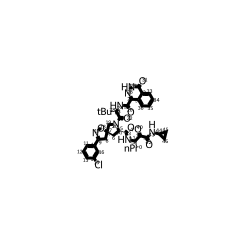 CCC[C@H](NC(=O)[C@@H]1C[C@]2(CC(c3cccc(Cl)c3)=NO2)CN1C(=O)[C@@H](NC(=O)c1n[nH]c(=O)c2ccccc12)C(C)(C)C)C(=O)C(=O)NC1CC1